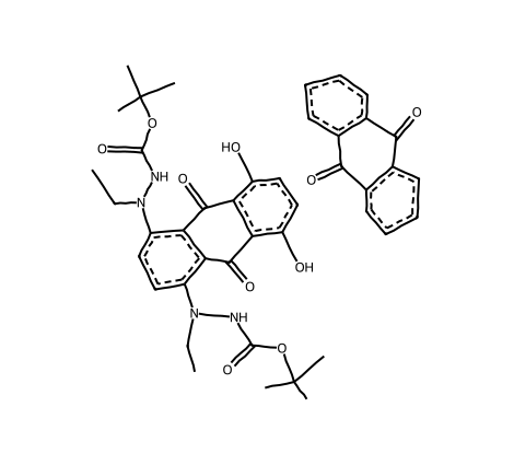 CCN(NC(=O)OC(C)(C)C)c1ccc(N(CC)NC(=O)OC(C)(C)C)c2c1C(=O)c1c(O)ccc(O)c1C2=O.O=C1c2ccccc2C(=O)c2ccccc21